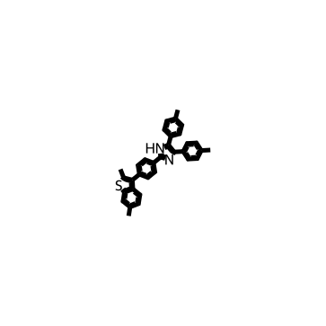 Cc1ccc(-c2nc(-c3ccc(-c4c(C)sc5cc(C)ccc45)cc3)[nH]c2-c2ccc(C)cc2)cc1